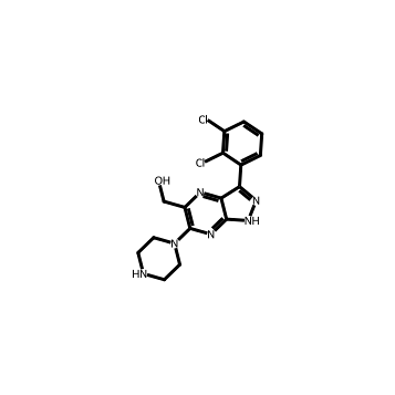 OCc1nc2c(-c3cccc(Cl)c3Cl)n[nH]c2nc1N1CCNCC1